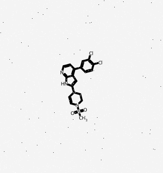 CS(=O)(=O)N1C=CC(c2cc3c(-c4ccc(Cl)c(Cl)c4)ccnc3[nH]2)CC1